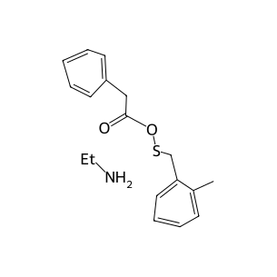 CCN.Cc1ccccc1CSOC(=O)Cc1ccccc1